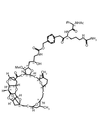 C=C1CC[C@@H]2CC[C@@H]3O[C@@H](CC[C@@]45C[C@H]6OC7C(O[C@H]8CC[C@H](CC(=O)C[C@@H]9[C@@H](OC)[C@@H](C[C@H](O)CNC(=O)OCc%10ccc(CC(=O)[C@H](CCCNC(N)=O)NC(=O)[C@@H](NC(C)=O)C(C)C)cc%10)O[C@H]9C[C@H]1O2)O[C@@H]8[C@@H]7O4)[C@H]6O5)CC3C